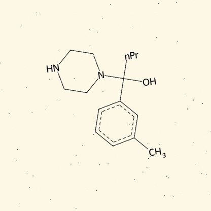 CCCC(O)(c1cccc(C)c1)N1CCNCC1